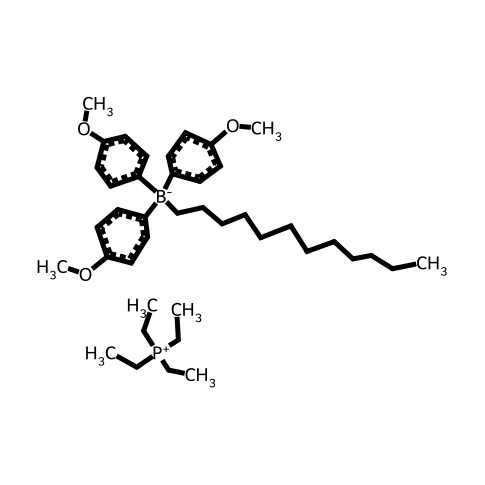 CCCCCCCCCCCC[B-](c1ccc(OC)cc1)(c1ccc(OC)cc1)c1ccc(OC)cc1.CC[P+](CC)(CC)CC